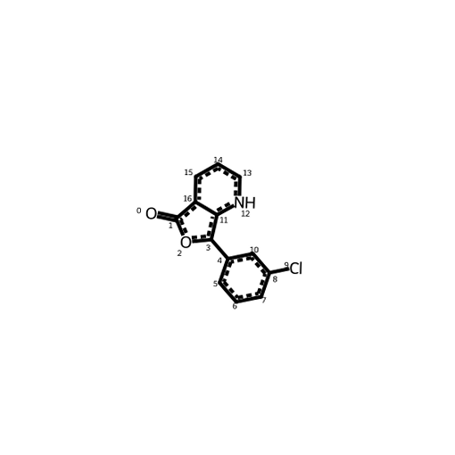 O=c1oc(-c2cccc(Cl)c2)c2[nH]cccc1-2